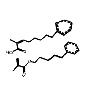 C=C(C)C(=O)OCCCCCc1ccccc1.CC(=CCCCCCc1ccccc1)C(=O)O